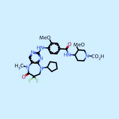 COc1cc(C(=O)NC2CCN(C(=O)O)CC2OC)ccc1Nc1ncc2c(n1)N(C1CCCC1)CC(F)(F)C(=O)N2C